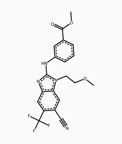 COCCn1c(Nc2cccc(C(=O)OC)c2)nc2cc(C(F)(F)F)c(C#N)cc21